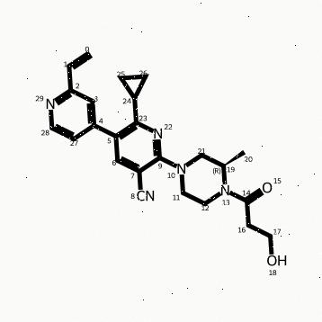 C=Cc1cc(-c2cc(C#N)c(N3CCN(C(=O)CCO)[C@H](C)C3)nc2C2CC2)ccn1